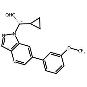 O=C[C@H](C1CC1)n1ncc2ncc(-c3cccc(OC(F)(F)F)c3)cc21